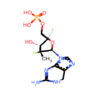 C[C@]1(F)[C@H](n2cnc3c2N=C(N)NC3)O[C@](F)(COP(=O)(O)O)[C@H]1O